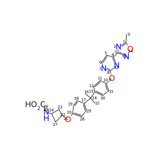 Cc1nc(-c2ccnc(Oc3ccc(C(C)(C)c4ccc(OC5CC(NC(=O)O)C5)cc4)cc3)n2)no1